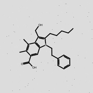 CCCCCc1c(CO)c2c(C)c(C)c(C(=O)O)cc2n1CCc1ccccc1